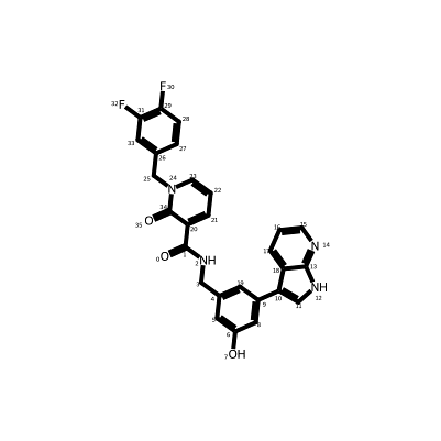 O=C(NCc1cc(O)cc(-c2c[nH]c3ncccc23)c1)c1cccn(Cc2ccc(F)c(F)c2)c1=O